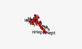 CCCCCCCC1(CCCCCCC)c2ccccc2-c2ccc(-c3ccc4c(c3)C(C)(C)c3cc(C5=CC=C(c6cc7c(c8c6oc6ccccc68)C6=CCC(N(c8ccc9c(c8)C(C)(C)c8cc(-c%10ccccc%10)c%10oc%11ccccc%11c%10c8-9)c8ccc9c(c8)C(C)(C)c8c%10c(c%11oc%12ccccc%12c%11c8-9)-c8ccccc8C%10(C)C)C=C6C7(C)C)CC5)ccc3-4)cc21